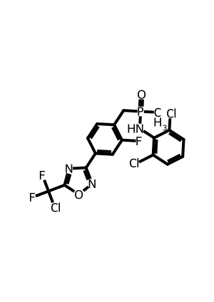 CP(=O)(Cc1ccc(-c2noc(C(F)(F)Cl)n2)cc1F)Nc1c(Cl)cccc1Cl